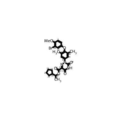 COc1ccc(Oc2c(C)cc(-n3nc(C(=O)OC(C)C4CCCC4)c(=O)[nH]c3=O)cc2C)cc1Br